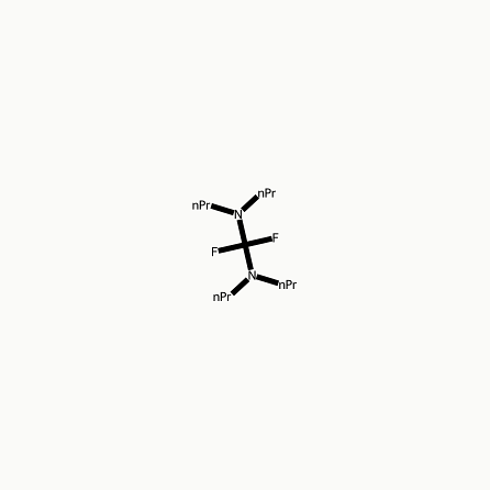 CCCN(CCC)C(F)(F)N(CCC)CCC